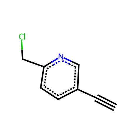 C#Cc1ccc(CCl)nc1